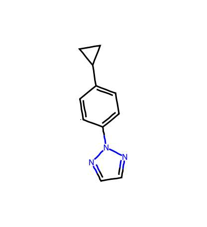 [c]1cc(C2CC2)ccc1-n1nccn1